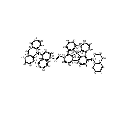 C1=CC2=C(CC1)N(c1ccc3c(c1)C1(c4ccccc4-c4ccccc41)c1cc(/C=C/c4ccc(N5c6ccccc6Cc6ccccc65)c5ccccc45)ccc1-3)CCC2